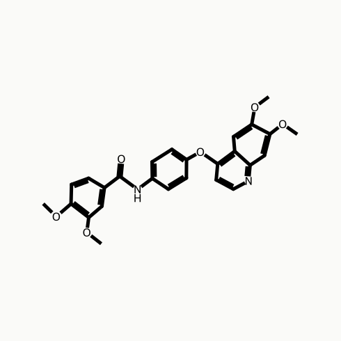 COc1ccc(C(=O)Nc2ccc(Oc3ccnc4cc(OC)c(OC)cc34)cc2)cc1OC